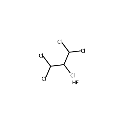 ClC(Cl)C(Cl)C(Cl)Cl.F